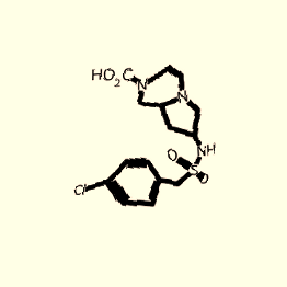 O=C(O)N1CCN2CC(NS(=O)(=O)Cc3ccc(Cl)cc3)CC2C1